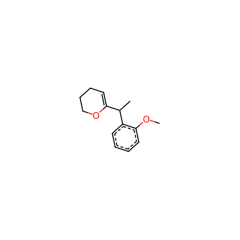 COc1ccccc1C(C)C1=CCCCO1